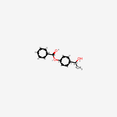 C[C@H](O)c1ccc(OC(=O)c2ccccc2)cc1